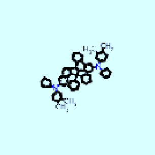 Cc1ccc(N(c2ccccc2)c2ccc3c4c(ccc3c2)-c2c(c3ccc(N(c5ccccc5)c5ccc(C)c(C)c5)cc3c3ccccc23)C4(c2ccccc2)c2ccccc2)cc1C